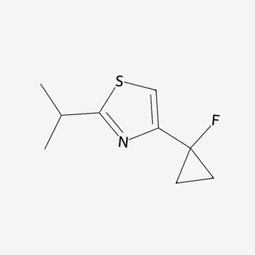 CC(C)c1nc(C2(F)CC2)cs1